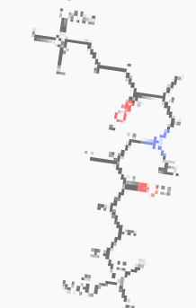 CCN(CC(C)C(=O)CCC[Si](C)(C)OC)CC(C)C(=O)CCC[Si](C)(C)OC